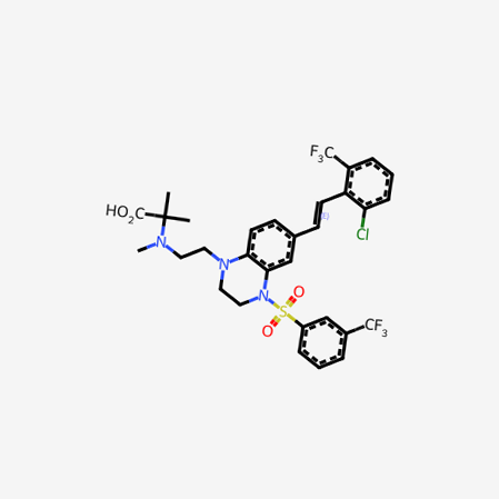 CN(CCN1CCN(S(=O)(=O)c2cccc(C(F)(F)F)c2)c2cc(/C=C/c3c(Cl)cccc3C(F)(F)F)ccc21)C(C)(C)C(=O)O